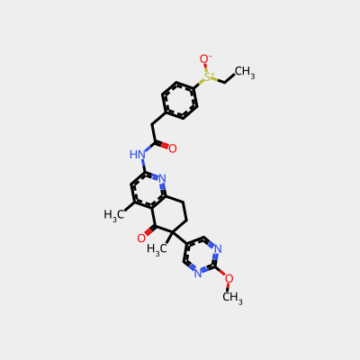 CC[S+]([O-])c1ccc(CC(=O)Nc2cc(C)c3c(n2)CCC(C)(c2cnc(OC)nc2)C3=O)cc1